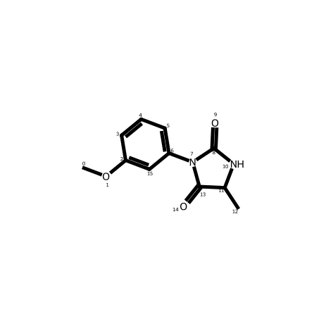 COc1cccc(N2C(=O)NC(C)C2=O)c1